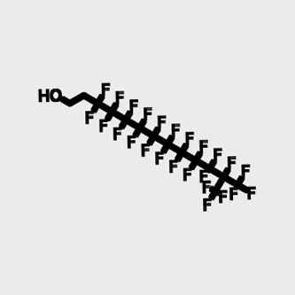 OCCC(F)(F)C(F)(F)C(F)(F)C(F)(F)C(F)(F)C(F)(F)C(F)(F)C(F)(F)C(F)(F)C(F)(C(F)(F)F)C(F)(F)F